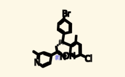 Cc1cc(/C(C[C@H](c2ccc(Br)cc2)c2ccc(Cl)cc2C)=N/O)ccn1